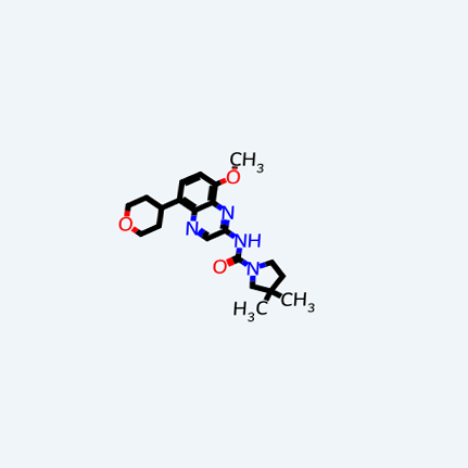 COc1ccc(C2CCOCC2)c2ncc(NC(=O)N3CCC(C)(C)C3)nc12